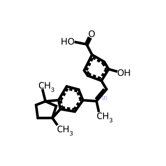 C/C(=C/c1ccc(C(=O)O)cc1O)c1ccc2c(c1)C1(C)CCC2(C)C1